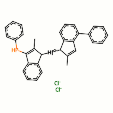 CC1=Cc2c(-c3ccccc3)cccc2[CH]1[Hf+2][CH]1C(C)=C(Pc2ccccc2)c2ccccc21.[Cl-].[Cl-]